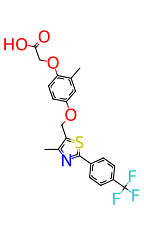 Cc1cc(OCc2sc(-c3ccc(C(F)(F)F)cc3)nc2C)ccc1OCC(=O)O